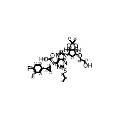 CCCSc1nc(N(C(=O)O)[C@@H]2C[C@H]2c2ccc(F)c(F)c2)c2nnn([C@@H]3C[C@H](OCCO)[C@H]4OC(C)(C)O[C@H]43)c2n1